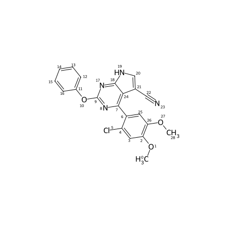 COc1cc(Cl)c(-c2nc(Oc3ccccc3)nc3[nH]cc(C#N)c23)cc1OC